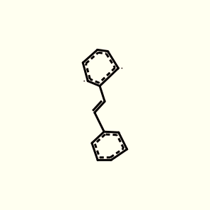 [c]1ccc[c]c1C=Cc1ccccc1